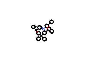 CC1(C)c2ccccc2-c2ccc(N(c3ccc(-c4ccccc4)cc3)c3cc4c(cc3-c3cccc5ccccc35)-c3ccccc3C4(c3ccccc3)c3ccccc3)cc21